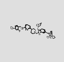 O=C(Nc1ccc2c(c1)nc(CN1CCC(c3cccc(OCc4ccc(Cl)cc4F)n3)CC1)n2C[C@@H]1CCO1)C1(C2CC2)CCCO1